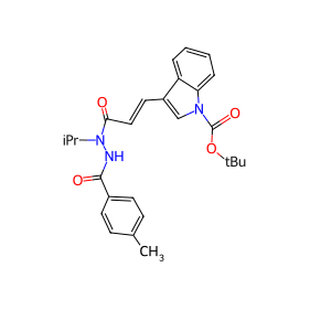 Cc1ccc(C(=O)NN(C(=O)/C=C/c2cn(C(=O)OC(C)(C)C)c3ccccc23)C(C)C)cc1